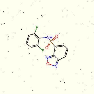 O=S(=O)(Nc1c(F)cccc1F)c1cccc2nonc12